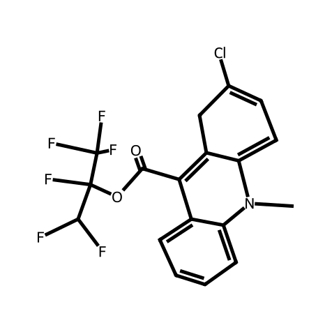 CN1C2=CC=C(Cl)CC2=C(C(=O)OC(F)(C(F)F)C(F)(F)F)c2ccccc21